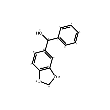 OC(c1ccccc1)c1ccc2c(c1)OCO2